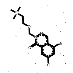 C[Si](C)(C)CCOCn1ncc2c(Br)cc(Cl)cc2c1=O